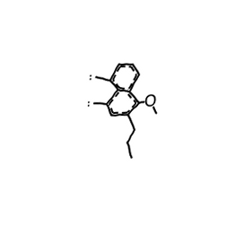 [CH]c1cccc2c(OC)c(CCC)cc([CH])c12